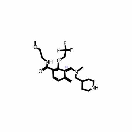 C=c1ccc(C(=O)NCCOC)c(OCC(F)(F)F)/c1=C/N(C)CC1CCNCC1